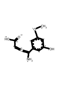 COc1cc(O)cc(C(N)=C=CC(=O)O)c1